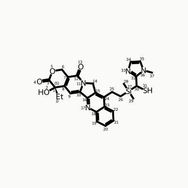 CC[C@@]1(O)C(=O)OCc2c1cc1n(c2=O)Cc2c-1nc1ccccc1c2CC[Si](C)(C)C(S)c1nccn1C